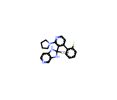 O=C(O)C1(c2c(-c3ccccc3F)ccnc2N2CCCC2)Nc2ccncc2N1